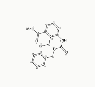 COC(=O)c1cccc(NC(=O)OCc2ccccc2)c1CBr